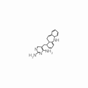 Nc1ncc(CC2C=CC=C3NC4C=CC=CC4=CCC32)c(N)n1